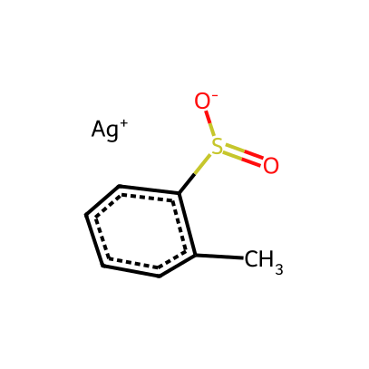 Cc1ccccc1S(=O)[O-].[Ag+]